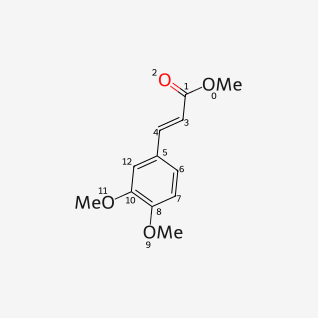 COC(=O)/C=C/c1ccc(OC)c(OC)c1